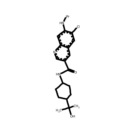 CC(C)Nc1cc2ncc(C(=O)NC3CCC(C(C)(C)O)CC3)cc2cc1Cl